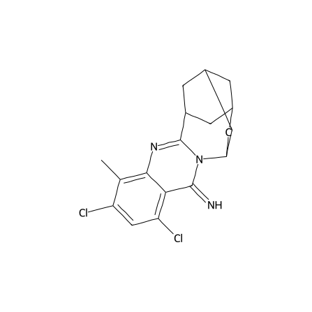 Cc1c(Cl)cc(Cl)c2c(=N)n3c(nc12)C1CC2CC(C1)CC3C2